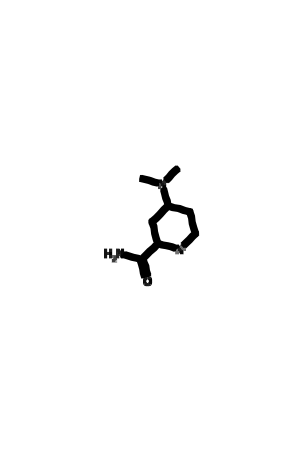 CN(C)C1CC[N]C(C(N)=O)C1